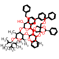 CC1O[C@@H](O[Si](C(C)C)(C(C)C)C(C)C)[C@@H](C)C(O[C@@H]2OC(COCc3ccccc3)[C@@H](OCc3ccccc3)C(OCc3ccccc3)[C@H]2O)[C@H]1O[C@@H]1OC[C@@H](C)C(O[C@@]23COCC2(COCc2ccccc2)O[C@@H](c2ccccc2)O3)[C@H]1OCc1ccccc1